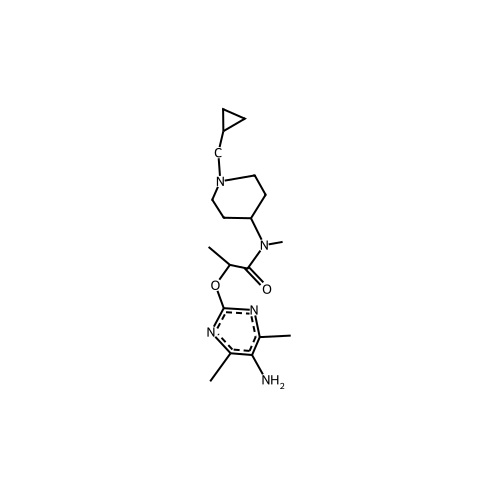 Cc1nc(OC(C)C(=O)N(C)C2CCN(CC3CC3)CC2)nc(C)c1N